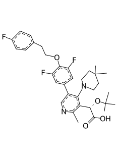 Cc1ncc(-c2cc(F)c(OCCc3ccc(F)cc3)c(F)c2)c(N2CCC(C)(C)CC2)c1[C@H](OC(C)(C)C)C(=O)O